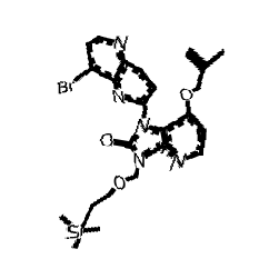 C=C(C)COc1ccnc2c1n(-c1ccc3nccc(Br)c3n1)c(=O)n2COCC[Si](C)(C)C